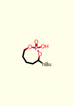 CCCCC1CCCCOP(=O)(O)O1